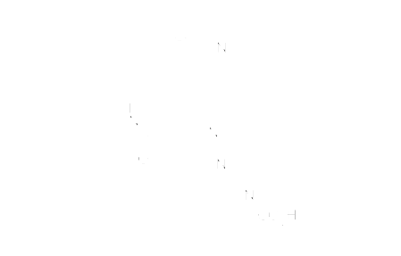 CCNC(=O)c1cc(-c2ccnc(Cl)c2)nc(N2CCN(C(=O)O)CC2)c1